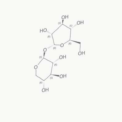 OC[C@H]1O[C@H](O[C@@H]2OC[C@@H](O)[C@H](O)[C@H]2O)[C@H](O)[C@@H](O)[C@@H]1O